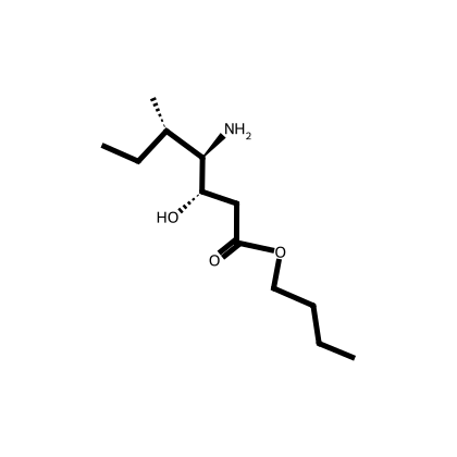 CCCCOC(=O)C[C@H](O)[C@H](N)[C@@H](C)CC